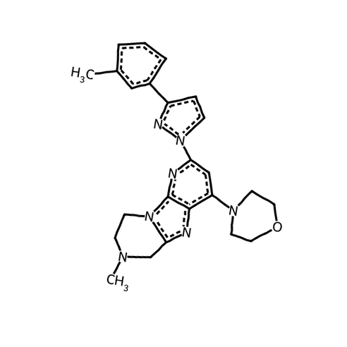 Cc1cccc(-c2ccn(-c3cc(N4CCOCC4)c4nc5n(c4n3)CCN(C)C5)n2)c1